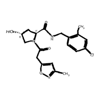 Cc1cc(CC(=O)N2C[C@H](O)C[C@H]2C(=O)NCc2ccc(Cl)cc2C)on1